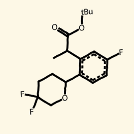 CC(C(=O)OC(C)(C)C)c1cc(F)ccc1C1CCC(F)(F)CO1